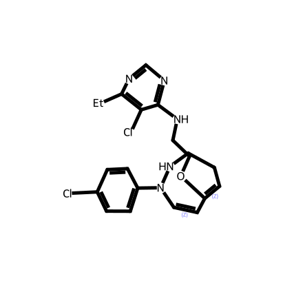 CCc1ncnc(NCCOC2=C\CCNN(c3ccc(Cl)cc3)/C=C\2)c1Cl